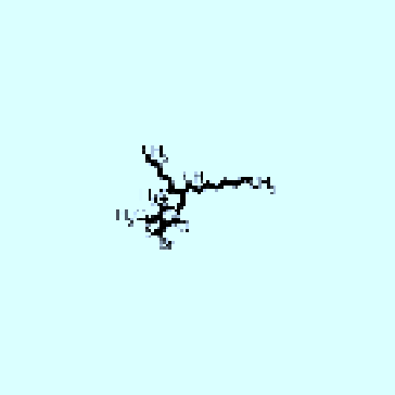 CCCCCCCC(C)C(CN1C(=O)c2c(C)sc(Br)c2C1=O)C(C)CCCCC